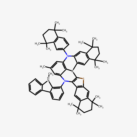 Cc1cc2c3c(c1)N(c1cccc4c1[SiH](C)c1ccccc1-4)c1c(sc4cc5c(cc14)C(C)(C)CCC5(C)C)B3c1cc3c(cc1N2c1ccc2c(c1)C(C)(C)CCC2(C)C)C(C)(C)CCC3(C)C